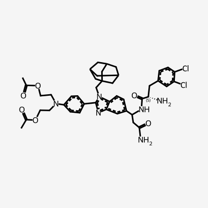 CC(=O)OCCN(CCOC(C)=O)c1ccc(-c2nc3cc(C(CC(N)=O)NC(=O)[C@@H](N)Cc4ccc(Cl)c(Cl)c4)ccc3n2CC23CC4CC(CC(C4)C2)C3)cc1